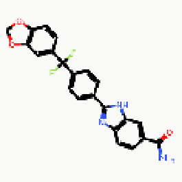 NC(=O)c1ccc2nc(-c3ccc(C(F)(F)c4ccc5c(c4)OCO5)cc3)[nH]c2c1